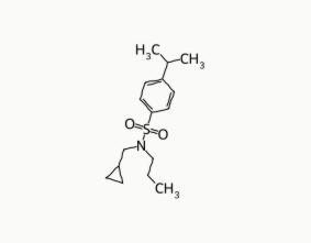 CCCN(CC1CC1)S(=O)(=O)c1ccc(C(C)C)cc1